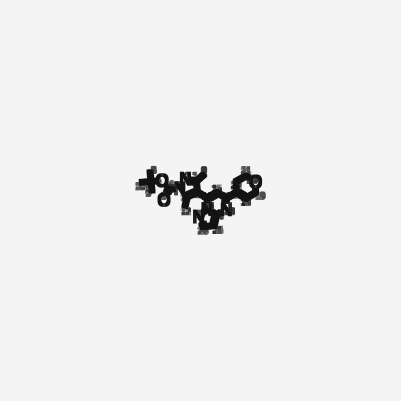 Cc1nn(C(=O)OC(C)(C)C)c(C)c1-c1cc(C2=CCOCC2)nc2ccnn12